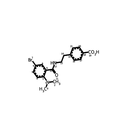 CN(C)c1ccc(Br)cc1C(=O)NCCc1ccc(C(=O)O)cc1